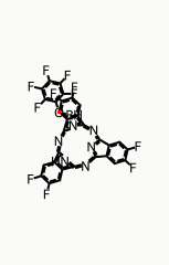 Fc1cc2c(cc1F)-c1nc-2nc2[nH]c(nc3c4cc(F)c(F)cc4c(n1)n3BOc1c(F)c(F)c(F)c(F)c1F)c1cc(F)c(F)cc21